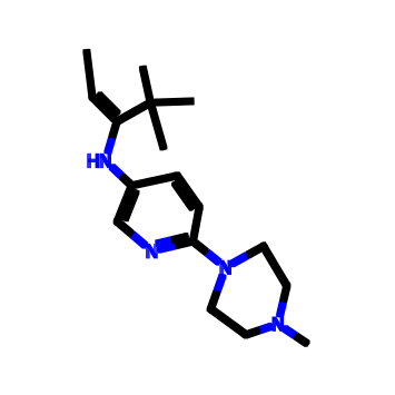 CC=C(Nc1ccc(N2CCN(C)CC2)nc1)C(C)(C)C